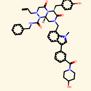 C=CCN1CC(=O)N2[C@@H](Cc3ccc(O)cc3)C(=O)N(Cc3cccc4c(-c5cccc(C(=O)N6CCC(O)CC6)c5)cn(C)c34)C[C@@H]2N1C(=O)NCc1ccccc1